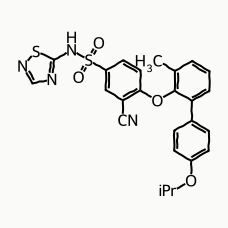 Cc1cccc(-c2ccc(OC(C)C)cc2)c1Oc1ccc(S(=O)(=O)Nc2ncns2)cc1C#N